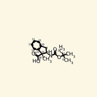 CC(C)(C)OC(=O)N[C@@H]1Cc2ccccc2[C@@]1(C)C(=O)O